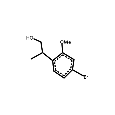 COc1cc(Br)ccc1C(C)CO